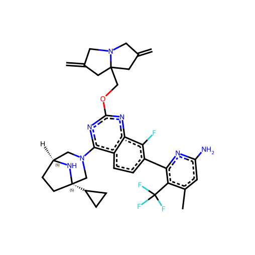 C=C1CN2CC(=C)CC2(COc2nc(N3C[C@@H]4CC[C@](C5CC5)(C3)N4)c3ccc(-c4nc(N)cc(C)c4C(F)(F)F)c(F)c3n2)C1